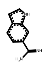 N=C(N)c1ccc2cc[nH]c2c1